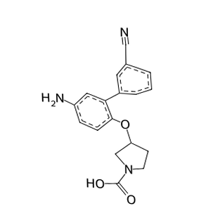 N#Cc1cccc(-c2cc(N)ccc2OC2CCN(C(=O)O)C2)c1